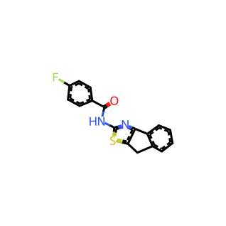 O=C(Nc1nc2c(s1)Cc1ccccc1-2)c1ccc(F)cc1